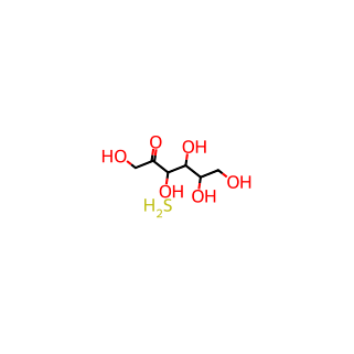 O=C(CO)C(O)C(O)C(O)CO.S